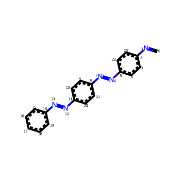 C=Nc1ccc(N=Nc2ccc(N=Nc3ccccc3)cc2)cc1